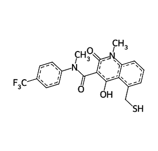 CN(C(=O)c1c(O)c2c(CS)cccc2n(C)c1=O)c1ccc(C(F)(F)F)cc1